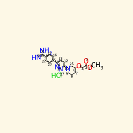 COC(=O)COC1CCCN(c2ccc(-c3ccc(C(=N)N)cc3)nn2)C1.Cl